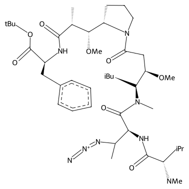 CC[C@H](C)[C@@H]([C@@H](CC(=O)N1CCC[C@H]1[C@H](OC)[C@@H](C)C(=O)N[C@@H](Cc1ccccc1)C(=O)OC(C)(C)C)OC)N(C)C(=O)[C@@H](NC(=O)[C@@H](NC)C(C)C)C(C)N=[N+]=[N-]